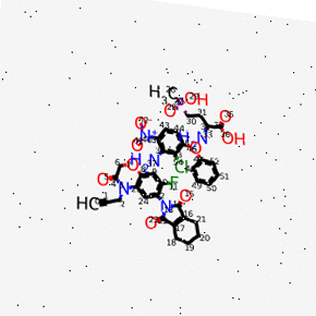 C#CCN1C(=O)COc2cc(F)c(N3C(=O)C4=C(CCCC4)C3=O)cc21.CP(=O)(O)CCC(N)C(=O)O.Nc1c([N+](=O)[O-])ccc(Oc2ccccc2)c1Cl